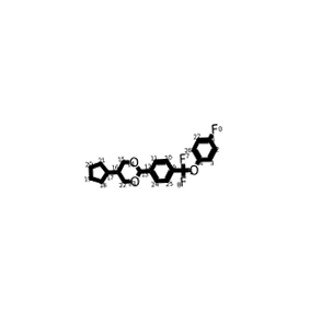 Fc1ccc(OC(F)(F)c2ccc(C3OCC(C4CCCC4)CO3)cc2)cc1